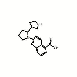 O=C(O)c1cccc2nc(N3CCCC3C3CCNC3)ccc12